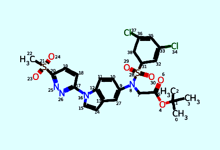 CC(C)(C)OC(=O)CN(c1ccc2c(ccn2-c2ccc(S(C)(=O)=O)nn2)c1)S(=O)(=O)C1C=C(Cl)C=C(Cl)C1